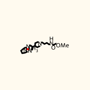 COCC(=O)NCCCCN1CCC(c2cnc(N3C4CCC3CN(C)C4)nc2)CC1